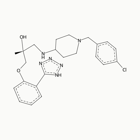 C[C@@](O)(CNC1CCN(Cc2ccc(Cl)cc2)CC1)COc1ccccc1-c1nnn[nH]1